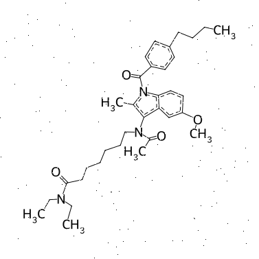 CCCCc1ccc(C(=O)n2c(C)c(N(CCCCCCC(=O)N(CC)CC)C(C)=O)c3cc(OC)ccc32)cc1